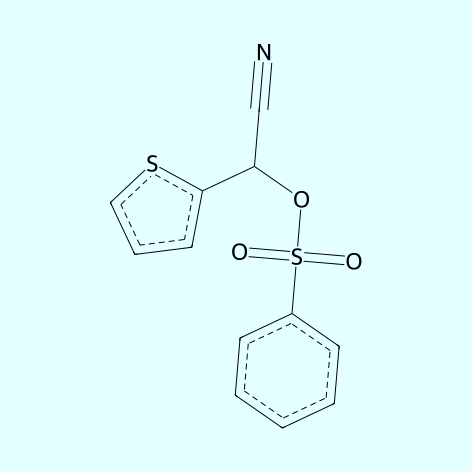 N#CC(OS(=O)(=O)c1ccccc1)c1cccs1